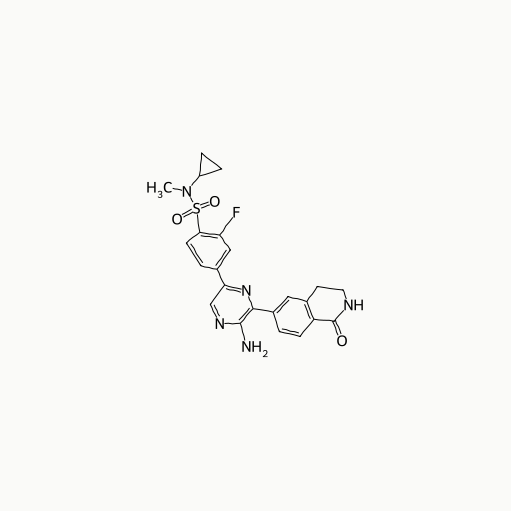 CN(C1CC1)S(=O)(=O)c1ccc(-c2cnc(N)c(-c3ccc4c(c3)CCNC4=O)n2)cc1F